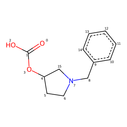 O=C(O)OC1CCN(Cc2ccccc2)C1